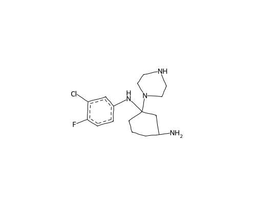 NC1CCCC(Nc2ccc(F)c(Cl)c2)(N2CCNCC2)C1